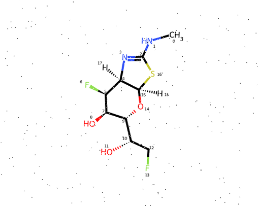 CNC1=N[C@@H]2[C@H](F)[C@H](O)[C@@H]([C@@H](O)CF)O[C@@H]2S1